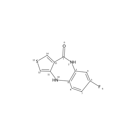 O=C1Nc2cc(F)ccc2Nc2cscc21